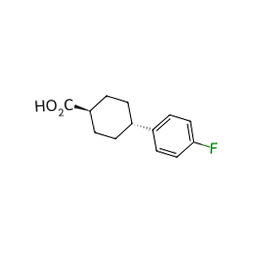 O=C(O)[C@H]1CC[C@H](c2ccc(F)cc2)CC1